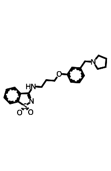 O=S1(=O)N=C(NCCCOc2cccc(CN3CCCC3)c2)c2ccccc21